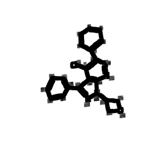 Clc1c(-c2ccccc2)nnc2c1c(-c1ccccc1)nn2C1COC1